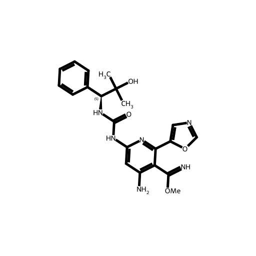 COC(=N)c1c(N)cc(NC(=O)N[C@@H](c2ccccc2)C(C)(C)O)nc1-c1cnco1